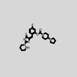 O=C(Oc1cc(F)ccc1C=C1SC(N2CCCCN2)=NC1=S)N1CCC(N2CCCC2)CC1